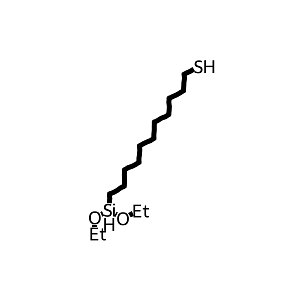 CCO[SiH](CCCCCCCCCCCS)OCC